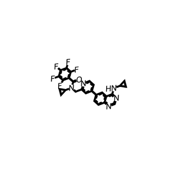 O=C(c1c(F)c(F)c(F)c(F)c1F)N(Cc1cc(-c2ccc3ncnc(NC4CC4)c3c2)ccn1)C1CC1